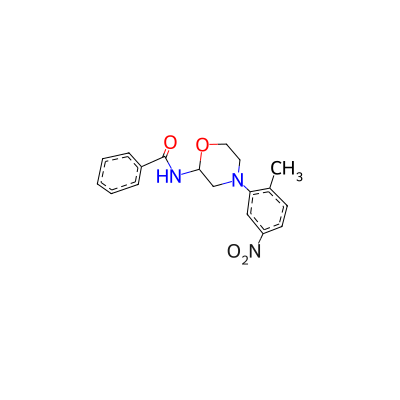 Cc1ccc([N+](=O)[O-])cc1N1CCOC(NC(=O)c2ccccc2)C1